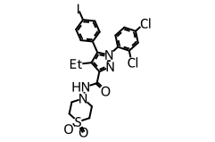 CCc1c(C(=O)NN2CCS(=O)(=O)CC2)nn(-c2ccc(Cl)cc2Cl)c1-c1ccc(I)cc1